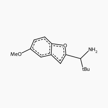 COc1ccc2oc(C(N)C(C)(C)C)cc2c1